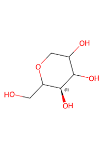 OCC1OCC(O)C(O)[C@H]1O